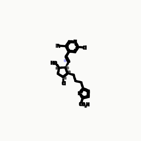 CC(C)c1cnc(Cl)cc1/C=C/[C@@H]1[C@@H](CCCc2ccc(C(=O)O)s2)[C@H](Cl)C[C@H]1O